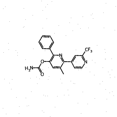 Cc1cc(OC(N)=O)c(-c2ccccc2)nc1-c1ccnc(C(F)(F)F)c1